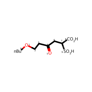 CCCCOCCC(=O)CC(C(=O)O)S(=O)(=O)O